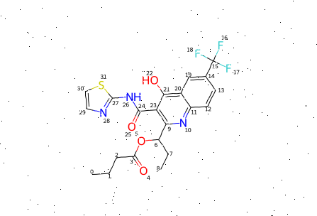 CCCC(=O)OC(CC)c1nc2ccc(C(F)(F)F)cc2c(O)c1C(=O)Nc1nccs1